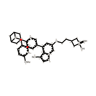 COc1ccc(CN2C3CC2CN(c2ccc(-c4cc(OCCC5C[SH](=N)(O)C5)cn5ncc(C#N)c45)cn2)C3)cn1